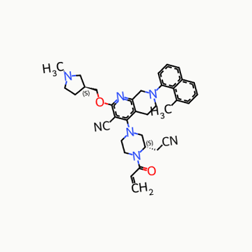 C=CC(=O)N1CCN(c2c(C#N)c(OC[C@H]3CCN(C)C3)nc3c2CCN(c2cccc4cccc(C)c24)C3)C[C@@H]1CC#N